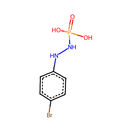 O=P(O)(O)NNc1ccc(Br)cc1